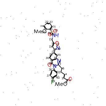 COC(=O)CCCCc1nc2cc(-c3cc(CNS(=O)(=O)c4ccccc4OC)on3)ccc2c(=O)n1-c1ccc(F)cc1